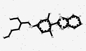 CCCCC(CC)COc1cc(C)c(-c2nc3ccccc3o2)c(C)c1